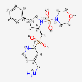 NCc1ccnc(S(=O)(=O)C[C@H]2C[C@@H](c3ccccc3)CN2S(=O)(=O)N2CCOCC2)c1